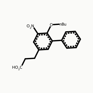 CCCCOc1c(-c2ccccc2)cc(CCC(=O)O)cc1[N+](=O)[O-]